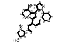 C=C(/C=C(\C=C/C)c1cc(-c2ccnn2C2CCOCC2)c2c(N)ncnn12)[C@@H]1C[C@H](O)CN1C(C)=O